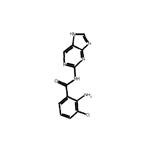 Nc1c(Cl)cccc1C(=O)Nc1ncc2[nH]cnc2n1